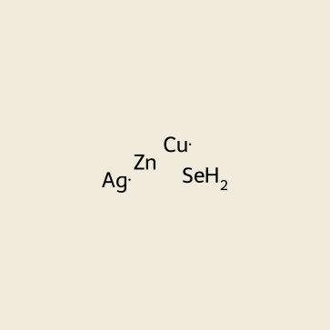 [Ag].[Cu].[SeH2].[Zn]